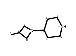 CC1CN(C2CCNCC2)C1